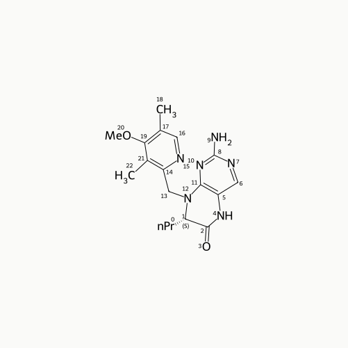 CCC[C@H]1C(=O)Nc2cnc(N)nc2N1Cc1ncc(C)c(OC)c1C